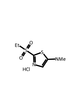 CCS(=O)(=O)c1ncc(NC)s1.Cl